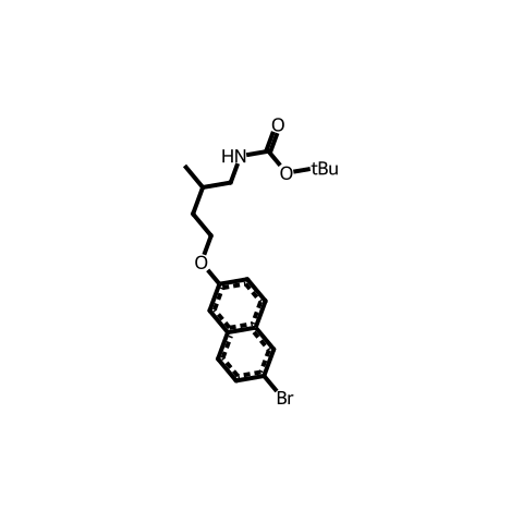 CC(CCOc1ccc2cc(Br)ccc2c1)CNC(=O)OC(C)(C)C